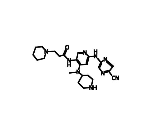 CN(c1cc(Nc2cnc(C#N)cn2)ncc1NC(=O)CCN1CCCCC1)C1CCNCC1